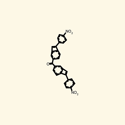 O=C(c1ccc2c(c1)C=C2c1ccc([N+](=O)[O-])cc1)c1ccc2c(c1)C=C2c1ccc([N+](=O)[O-])cc1